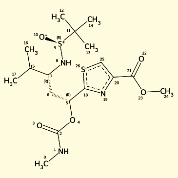 CNC(=O)O[C@H](C[C@@H](N[S@@+]([O-])C(C)(C)C)C(C)C)c1nc(C(=O)OC)cs1